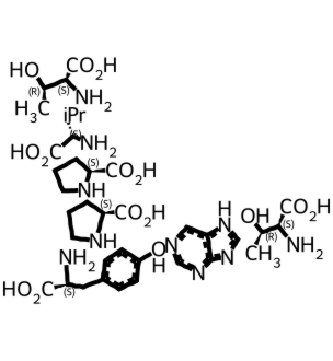 CC(C)[C@H](N)C(=O)O.C[C@@H](O)[C@H](N)C(=O)O.C[C@@H](O)[C@H](N)C(=O)O.N[C@@H](Cc1ccc(O)cc1)C(=O)O.O=C(O)[C@@H]1CCCN1.O=C(O)[C@@H]1CCCN1.c1ncc2[nH]cnc2n1